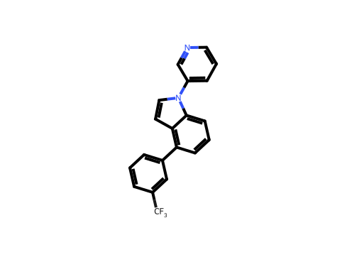 FC(F)(F)c1cccc(-c2cccc3c2ccn3-c2cccnc2)c1